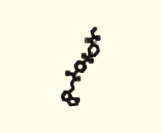 C=CC(=O)N[C@H]1CCCN(S(=O)(=O)c2ccc(C(=O)NCCc3cccc4c3OCC4)cc2)C1